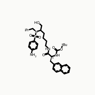 CC(C)CN(C(CO)CCCCNC(=O)[C@H](Cc1ccc2ccccc2c1)NC(=O)OC(C)(C)C)S(=O)(=O)c1ccc(N)cc1